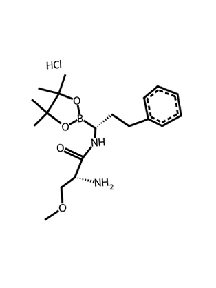 COC[C@@H](N)C(=O)N[C@@H](CCc1ccccc1)B1OC(C)(C)C(C)(C)O1.Cl